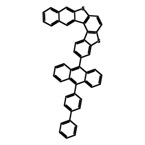 c1ccc(-c2ccc(-c3c4ccccc4c(-c4ccc5c(c4)sc4ccc6sc7cc8ccccc8cc7c6c45)c4ccccc34)cc2)cc1